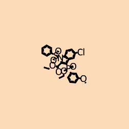 CCOC(=O)c1c(P(=O)(OCC)c2cccc(OC)c2)c2cc(Cl)ccc2n1S(=O)(=O)c1ccccc1